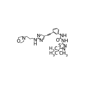 CC(C)(C)c1nnc(NC(=O)Nc2cccc(C#Cc3cnc(NCCCN4CCOCC4)nc3)c2)s1